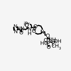 CC(C)CC(NC(=O)CNC(=O)c1cnccn1)B1OCCCN(CCOC(=O)NC(P(C)O)[PH](=O)O)CCCO1